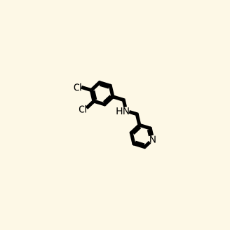 Clc1ccc(CNCc2cccnc2)cc1Cl